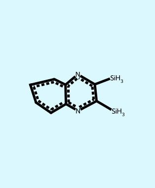 [SiH3]c1nc2ccccc2nc1[SiH3]